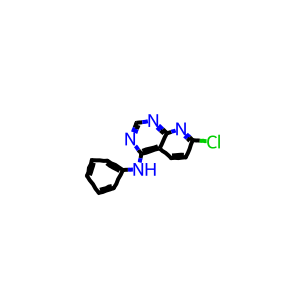 Clc1ccc2c(Nc3ccccc3)ncnc2n1